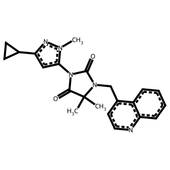 Cn1nc(C2CC2)cc1N1C(=O)N(Cc2ccnc3ccccc23)C(C)(C)C1=O